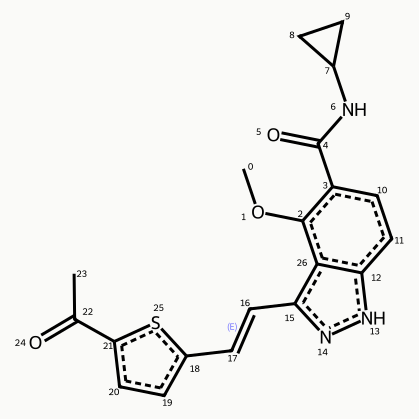 COc1c(C(=O)NC2CC2)ccc2[nH]nc(/C=C/c3ccc(C(C)=O)s3)c12